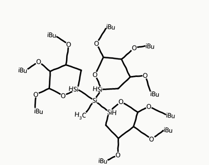 CCC(C)OC1C[SiH]([Si](C)([SiH]2CC(OC(C)CC)C(OC(C)CC)C(OC(C)CC)O2)[SiH]2CC(OC(C)CC)C(OC(C)CC)C(OC(C)CC)O2)OC(OC(C)CC)C1OC(C)CC